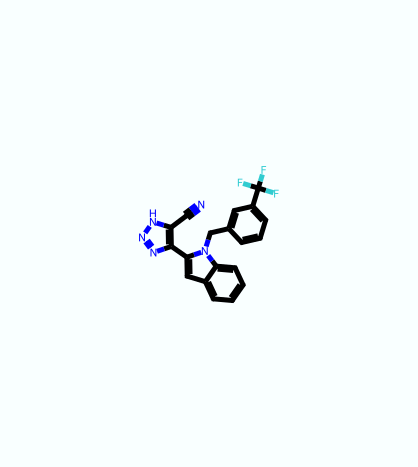 N#Cc1[nH]nnc1-c1cc2ccccc2n1Cc1cccc(C(F)(F)F)c1